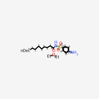 CCCCCCCCCCCCCCCCCC(=O)NS(=O)(=O)c1ccc(N)cc1.CCOCC